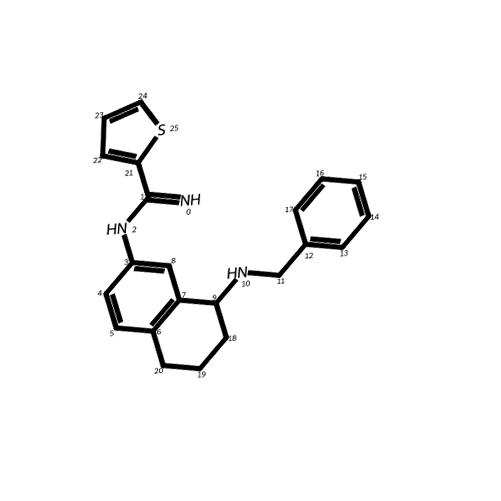 N=C(Nc1ccc2c(c1)C(NCc1ccccc1)CCC2)c1cccs1